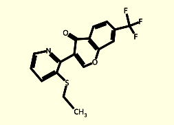 CCSc1cccnc1-c1coc2cc(C(F)(F)F)ccc2c1=O